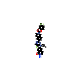 CN(c1ccc2c(=O)[nH]ccc2c1)c1nc(-c2ccc3c(c2)CCN(C(=O)OC2CCC(F)(F)CC2)C3)ncc1F